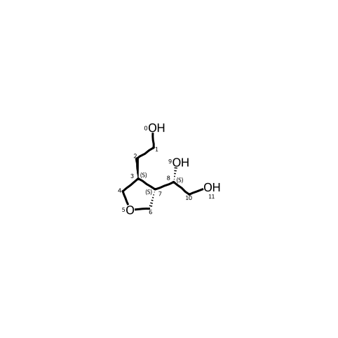 OCC[C@@H]1COC[C@H]1[C@H](O)CO